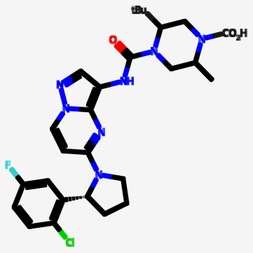 CC1CN(C(=O)Nc2cnn3ccc(N4CCC[C@@H]4c4cc(F)ccc4Cl)nc23)C(C(C)(C)C)CN1C(=O)O